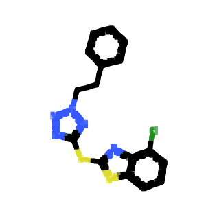 Clc1cccc2sc(Sc3nnn(CCc4ccccc4)n3)nc12